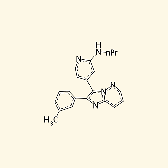 CCCNc1cc(-c2c(-c3cccc(C)c3)nc3cccnn23)ccn1